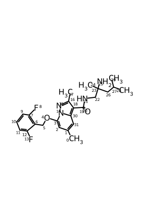 Cc1cc(OCc2c(F)cccc2F)n2nc(C)c(C(=O)NCC(C)(N)CC(C)C)c2c1